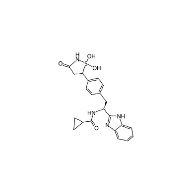 O=C1CC(c2ccc(C[C@H](NC(=O)C3CC3)c3nc4ccccc4[nH]3)cc2)S(O)(O)N1